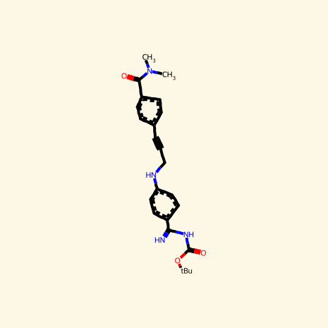 CN(C)C(=O)c1ccc(C#CCNc2ccc(C(=N)NC(=O)OC(C)(C)C)cc2)cc1